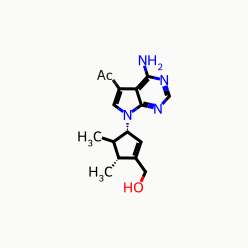 CC(=O)c1cn([C@@H]2C=C(CO)[C@H](C)C2C)c2ncnc(N)c12